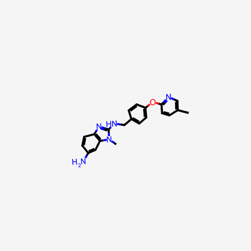 Cc1ccc(Oc2ccc(CNc3nc4ccc(N)cc4n3C)cc2)nc1